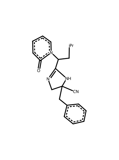 CC(C)CC(C1=NCC(C#N)(Cc2ccccc2)N1)n1ccccc1=O